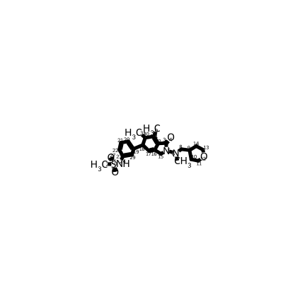 CC1=C2C(=O)N(N(C)CC3CCOCC3)CC2=CC(c2cccc(NS(C)(=O)=O)c2)C1C